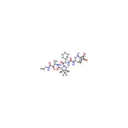 C=CCNC(=O)C(=O)C(CCC)NC(=O)[C@@H]1[C@@H]2[C@H](CN1C(=O)[C@@H](NC(=O)N[C@H](CN(C)c1c(C)c(=O)c1=O)C(C)(C)C)C1CCCCC1)C2(C)C